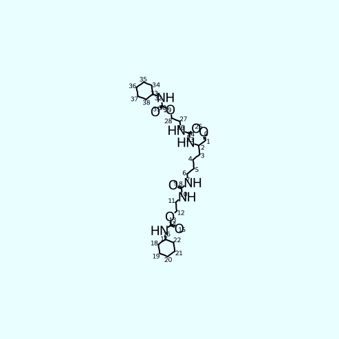 O=CC(CCCCNC(=O)NCCOC(=O)NC1CCCCC1)NC(=O)NCCOC(=O)NC1CCCCC1